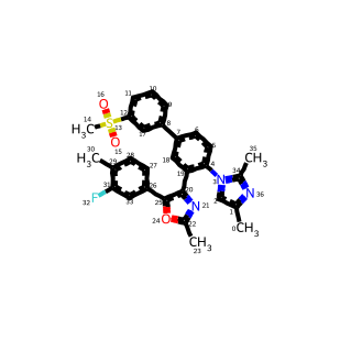 Cc1cn(-c2ccc(-c3cccc(S(C)(=O)=O)c3)cc2-c2nc(C)oc2-c2ccc(C)c(F)c2)c(C)n1